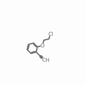 C#Cc1ccccc1OCCCl